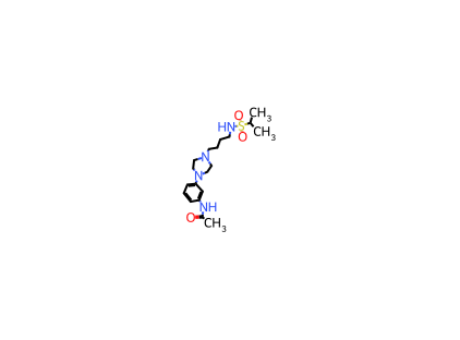 CC(=O)Nc1cccc(N2CCN(CCCCNS(=O)(=O)C(C)C)CC2)c1